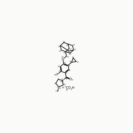 C[C@H]1CC[C@@H](C(=O)c2cc(C3CC3)c(OCC34CC5CC(CC(C5)C3)C4)cc2F)[C@@H]1C(=O)O